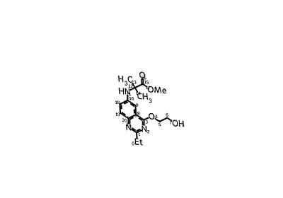 CCc1nc(OCCO)c2cc(NC(C)(C)C(=O)OC)ccc2n1